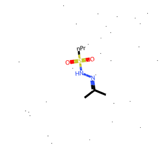 CCCS(=O)(=O)NN=C(C)C